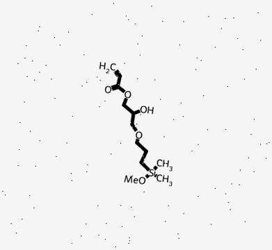 C=CC(=O)OCC(O)COCCC[Si](C)(C)OC